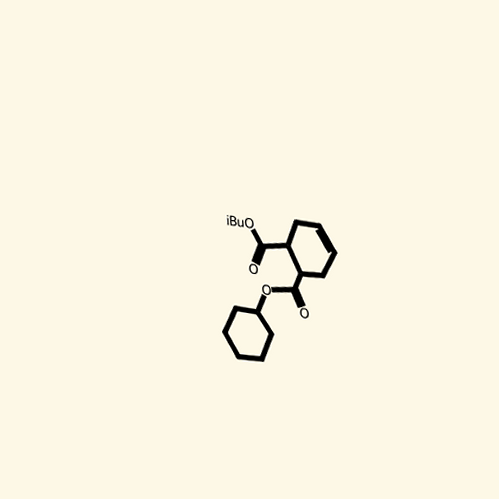 CC(C)COC(=O)C1CC=CCC1C(=O)OC1CCCCC1